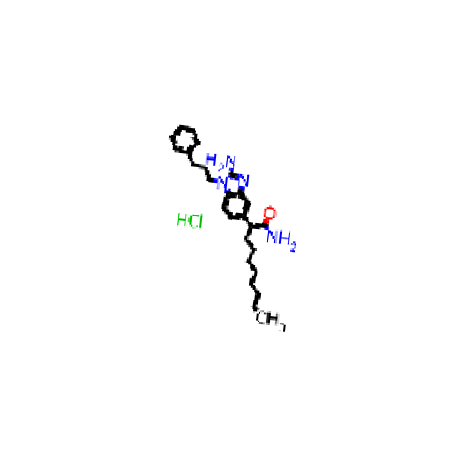 CCCCCCCCC(C(N)=O)c1ccc2c(c1)nc(N)n2CCCc1ccccc1.Cl